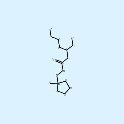 CCCCC(CC)CC(=O)COC1(C)CCCC1